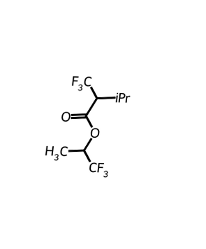 CC(C)C(C(=O)OC(C)C(F)(F)F)C(F)(F)F